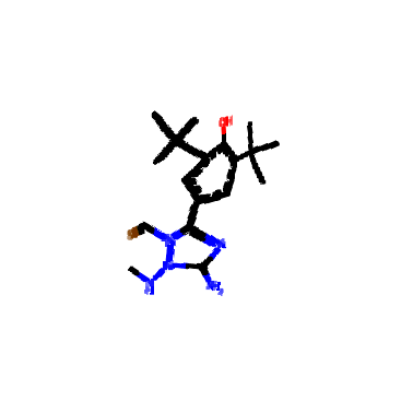 CNN1C(N)N=C(c2cc(C(C)(C)C)c(O)c(C(C)(C)C)c2)N1C=S